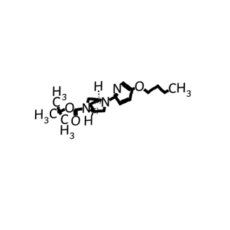 CCCCOc1ccc(N2C[C@@H]3C[C@H]2CN3C(=O)OC(C)(C)C)nc1